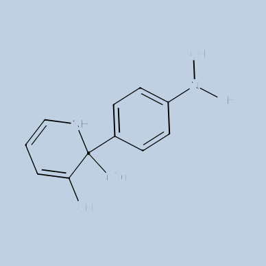 CCCCC1(c2ccc(N(C)C)cc2)NC=CC=C1C